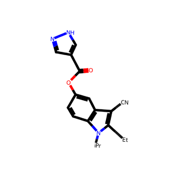 CCc1c(C#N)c2cc(OC(=O)c3cn[nH]c3)ccc2n1C(C)C